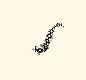 CCCCCC1CCC(c2ccc(-c3ccc(-c4cc(F)c(C(F)(F)Oc5ccc(OC(F)F)c(F)c5)c(F)c4)c(F)c3)c(F)c2)CC1